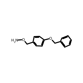 NOCc1ccc(OCc2ccccc2)cc1